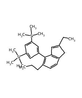 CCCc1ccc2c(c1-c1cc([Si](C)(C)C)cc([Si](C)(C)C)c1)C=C(CC)[CH]2